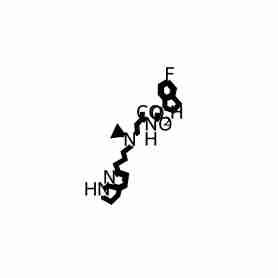 O=C(NC(CCN(CCCCc1ccc2c(n1)NCCC2)C1CC1)C(=O)O)OC1CCc2cc(F)ccc21